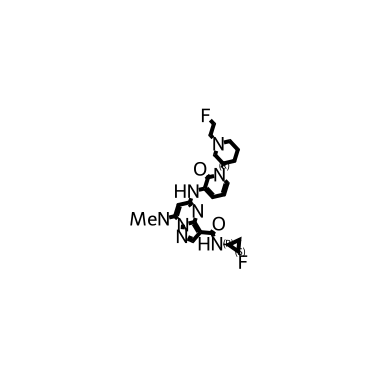 CNc1cc(Nc2cccn([C@@H]3CCCN(CCF)C3)c2=O)nc2c(C(=O)N[C@@H]3C[C@@H]3F)cnn12